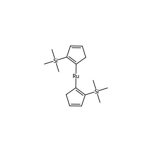 C[Si](C)(C)C1=[C]([Ru][C]2=C([Si](C)(C)C)C=CC2)CC=C1